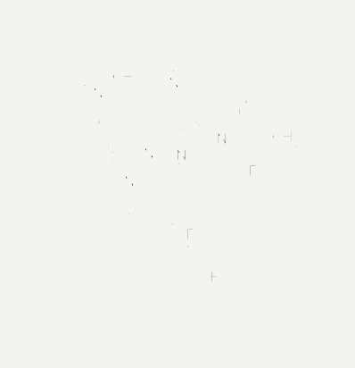 C=C(F)C(=O)N1CCN(c2nc(OC[C@@H]3CCCN3C)nc3cc(-c4cccc5c4C[C@H](F)C5)c(F)cc23)C[C@@H]1CC#N